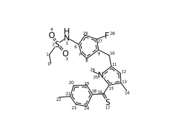 CCS(=O)(=O)Nc1ccc(Cc2cc(C)c(C(=S)c3ccc(C)cc3)n2C)c(F)c1